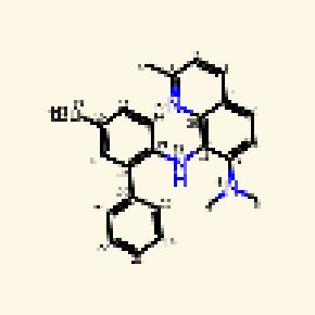 Cc1ccc2ccc(N(C)C)c(Nc3ccc(C(C)(C)C)cc3-c3ccccc3)c2n1